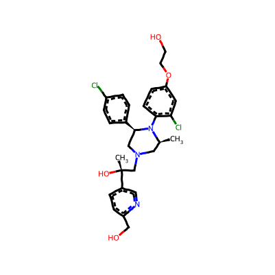 C[C@H]1CN(C[C@@](C)(O)c2ccc(CO)nc2)C[C@@H](c2ccc(Cl)cc2)N1c1ccc(OCCO)cc1Cl